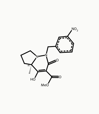 COC(=O)C1=C(O)[C@@]2(C)CCCN2N(Cc2cccc([N+](=O)[O-])c2)C1=O